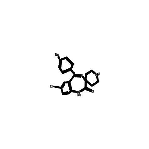 N#Cc1ccc(C2=NC3(CCNCC3)C(=O)Nc3ccc(Cl)cc32)cc1